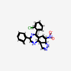 Cc1ccccc1-c1cnc2c(cc([N+](=O)[O-])c3nncc32)c(-c2ccccc2Cl)n1